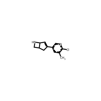 Cc1cc(C2=CC3NCC3C2)cnc1Cl